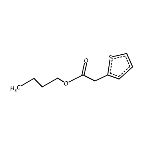 CCCCOC(=O)Cc1cccs1